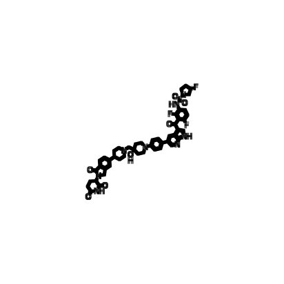 O=C1CCC(N2Cc3cc(C4CCN(CC5(O)CCN(c6ccc(-c7cnc8[nH]cc(C(=O)c9c(F)ccc(NS(=O)(=O)N%10CC[C@@H](F)C%10)c9F)c8c7)cc6)CC5)CC4)ccc3C2=O)C(=O)N1